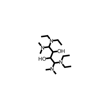 CCN(CC)C(C(O)C(O)C(N(C)C)N(CC)CC)N(C)C